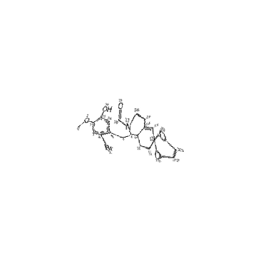 COc1cc(Br)c(CC2C3CCC4(C=C3CCN2C=O)OCCO4)cc1O